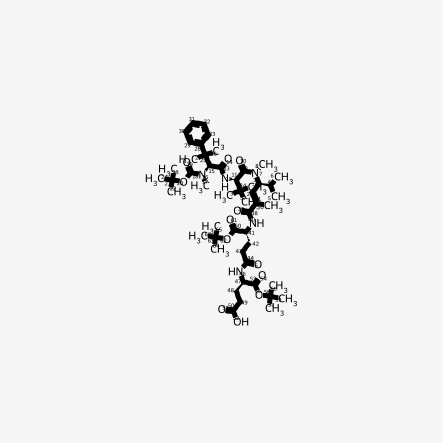 C/C(=C\[C@H](C(C)C)N(C)C(=O)[C@@H](NC(=O)[C@@H](N(C)C(=O)OC(C)(C)C)C(C)(C)c1ccccc1)C(C)(C)C)C(=O)N[C@H](CCC(=O)N[C@H](CCC(=O)O)C(=O)OC(C)(C)C)C(=O)OC(C)(C)C